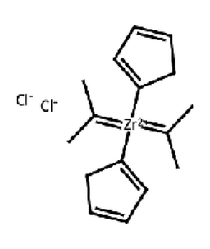 C[C](C)=[Zr+2]([C]1=CC=CC1)([C]1=CC=CC1)=[C](C)C.[Cl-].[Cl-]